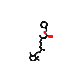 CC(C=CC1=C(C)CCCC1(C)C)=CC=CC(C)=CC(O)OCc1ccccc1